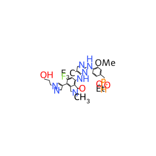 CCO[PH](=O)Cc1ccc(Nc2ncc(C(F)(F)F)c(Nc3cc(F)c(-c4cnn(CCCO)c4)c4c3C(=O)N(C)C4)n2)c(OC)c1